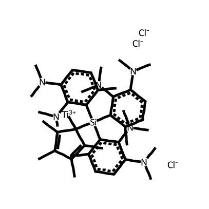 CC1=C(C)[C]([Ti+3])([Si](c2c(C)ccc(N(C)C)c2N(C)C)(c2c(C)ccc(N(C)C)c2N(C)C)c2c(C)ccc(N(C)C)c2N(C)C)C(C)=C1C.[Cl-].[Cl-].[Cl-]